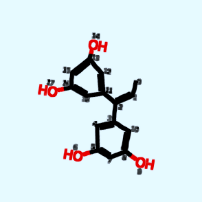 CC=C(c1cc(O)cc(O)c1)c1cc(O)cc(O)c1